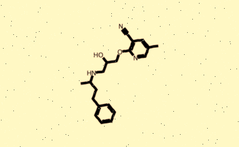 Cc1cnc(OCC(O)CNC(C)CCc2ccccc2)c(C#N)c1